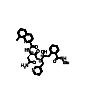 Cc1cccc2ccc(C(=O)N[C@@H](CC(N)=O)C(=O)C[C@H](Cc3cccnc3)[C@H](O)Cc3ccccc3C(=O)NC(C)(C)C)nc12